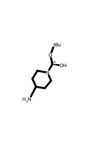 CC(C)(C)O[C@@H](O)N1CCC(N)CC1